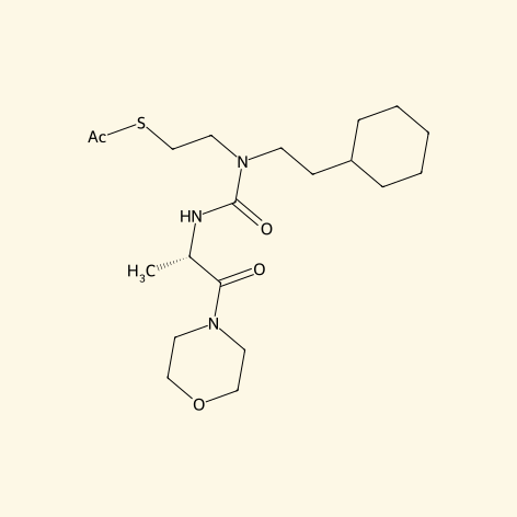 CC(=O)SCCN(CCC1CCCCC1)C(=O)N[C@@H](C)C(=O)N1CCOCC1